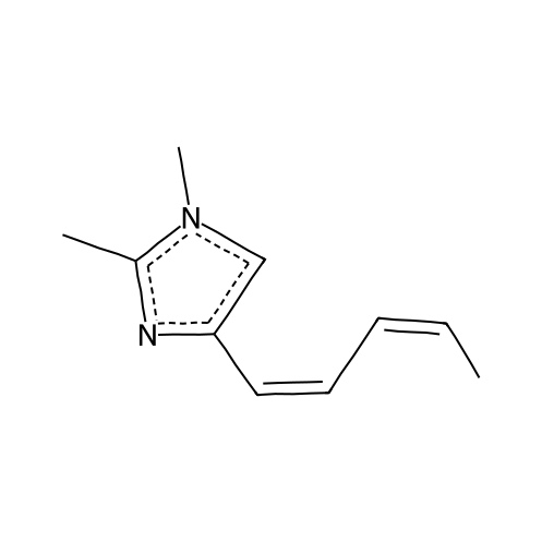 C/C=C\C=C/c1cn(C)c(C)n1